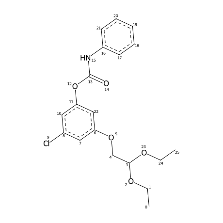 CCOC(COc1cc(Cl)cc(OC(=O)Nc2ccccc2)c1)OCC